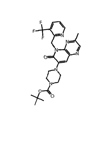 Cc1cnc2cc(N3CCN(C(=O)OC(C)(C)C)CC3)c(=O)n(Cc3ncccc3C(F)(F)F)c2n1